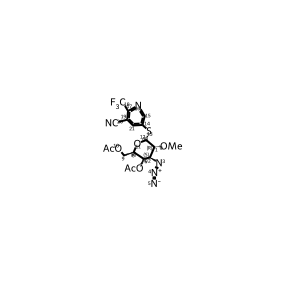 CO[C@@H]1[C@@H](N=[N+]=[N-])[C@@H](OC(C)=O)[C@@H](COC(C)=O)O[C@@H]1Sc1cnc(C(F)(F)F)c(C#N)c1